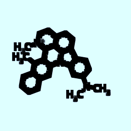 Cc1c2ccccc2cc2c1c1c3c(ccc4c5ccc(N(C)C)cc5n2c43)cc[n+]1C